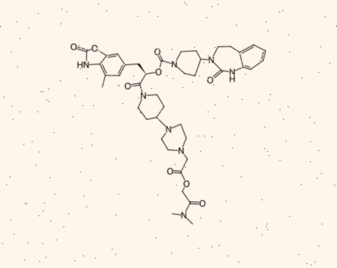 Cc1cc(C[C@@H](OC(=O)N2CCC(N3CCc4ccccc4NC3=O)CC2)C(=O)N2CCC(N3CCN(CC(=O)OCC(=O)N(C)C)CC3)CC2)cc2oc(=O)[nH]c12